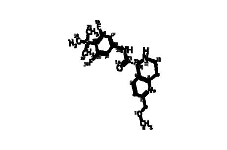 COCc1ccc2c(n1)CCN[C@H]2C(=O)Nc1cc(F)c([Si](C)(C)C)c(F)c1